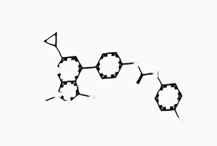 Cn1nc(N)c2c(-c3ccc(NC(=O)Nc4ccc(N=O)cc4)cc3)cc(C3CC3)nc21